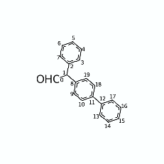 O=CC(c1ccccc1)c1ccc(-c2ccccc2)cc1